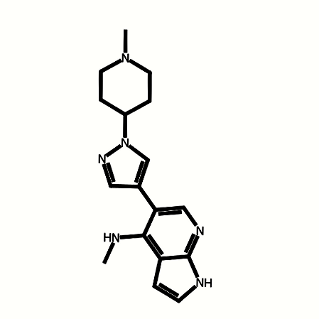 CNc1c(-c2cnn(C3CCN(C)CC3)c2)cnc2[nH]ccc12